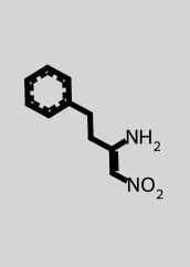 NC(=C[N+](=O)[O-])CCc1ccccc1